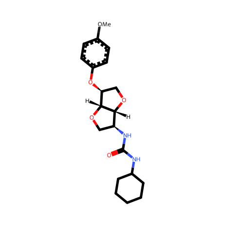 COc1ccc(O[C@H]2CO[C@H]3[C@@H]2OC[C@@H]3NC(=O)NC2CCCCC2)cc1